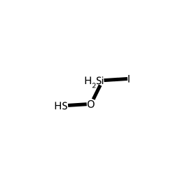 SO[SiH2]I